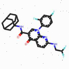 O=C(NC12CC3CC(CC(C3)C1)C2)c1cn(-c2ccc(F)cc2F)c2nc(NCC(F)F)ccc2c1=O